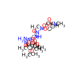 CCN(CCNC(=O)[C@H](CCCN/C(N)=N\S(=O)(=O)c1c(C)c(C)c2c(c1C)CC(C)(C)O2)NC(=O)CC(=O)OC(C)(C)C)C(=O)Oc1ccc2c(c1OC)[C@]13CCN(C)[C@H](C2)C1CCC(=O)C3